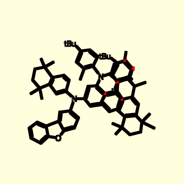 Cc1cc(C)c2c(c1)N(c1ccc(C(C)(C)C)cc1C)c1cc(N(c3ccc4c(c3)C(C)(C)CCC4(C)C)c3ccc4oc5ccccc5c4c3)ccc1B2c1cc2c(cc1C(C)c1ccc(C(C)(C)C)cc1-c1ccccc1)C(C)(C)CCC2(C)C